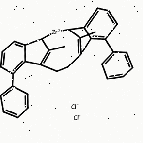 CC1=C2CCC3=C(C)[CH]([Zr+2][CH]1c1cccc(-c4ccccc4)c12)c1cccc(-c2ccccc2)c13.[Cl-].[Cl-]